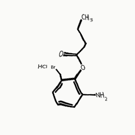 CCCC(=O)Oc1c(N)cccc1Br.Cl